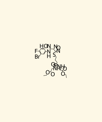 CCOC(=O)CNP(=O)(CCCSc1nonc1/C(=N/O)Nc1ccc(F)c(Br)c1)NCC(=O)OCC